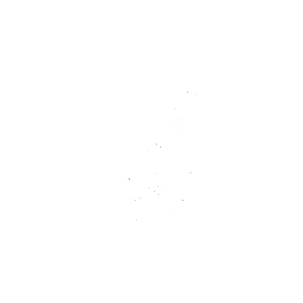 O=C(Nc1ccc(OC(F)(F)Cl)cc1)c1cnc(N2CCC(O)C2)c(NC2CCCC2Cl)c1